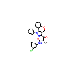 N#CC(C(=O)Nc1cccc(Cl)c1)C(=O)c1nn(-c2ccccc2)c2c1COc1ccccc1-2